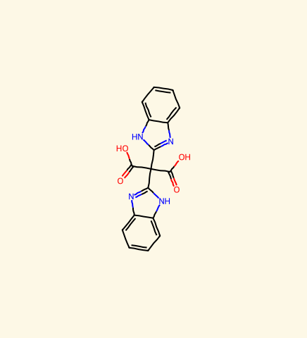 O=C(O)C(C(=O)O)(c1nc2ccccc2[nH]1)c1nc2ccccc2[nH]1